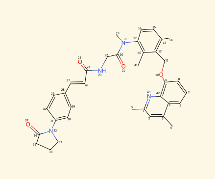 Cc1cc(C)c2cccc(OCc3c(C)ccc(N(C)C(=O)CNC(=O)C=Cc4ccc(N5CCCC5=O)cc4)c3C)c2n1